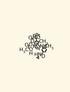 CCCN(C(=O)OCOC(=O)C(C)O)C(=O)c1cn2ncnc(Nc3cc(C(=O)NC4CC4)ccc3C)c2c1C